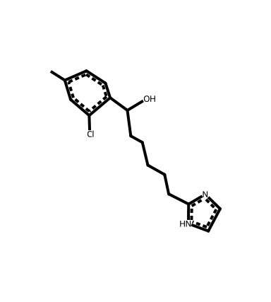 Cc1ccc(C(O)CCCCCc2ncc[nH]2)c(Cl)c1